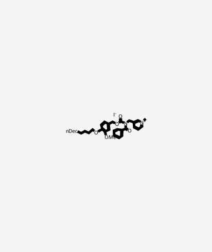 CCCCCCCCCCCCCCOc1ccc(COC(=O)N(Cc2ccc[n+](C)c2)C(=O)c2ccccc2)cc1OC.[I-]